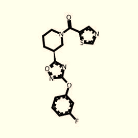 O=C(c1cncs1)N1CCC[C@H](c2nc(Oc3cccc(F)c3)no2)C1